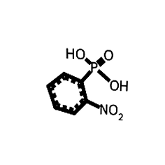 O=[N+]([O-])c1ccccc1P(=O)(O)O